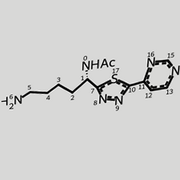 CC(=O)N[C@@H](CCCCN)c1nnc(-c2ccncn2)s1